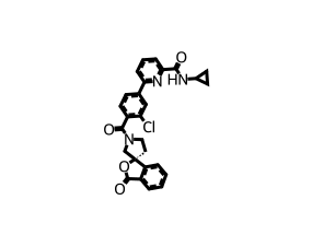 O=C(NC1CC1)c1cccc(-c2ccc(C(=O)N3CC[C@@]4(C3)OC(=O)c3ccccc34)c(Cl)c2)n1